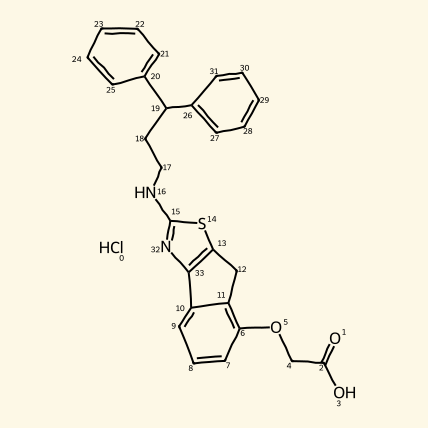 Cl.O=C(O)COc1cccc2c1Cc1sc(NCCC(c3ccccc3)c3ccccc3)nc1-2